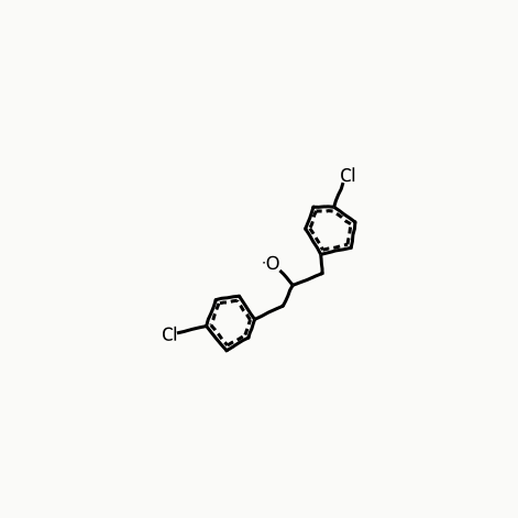 [O]C(Cc1ccc(Cl)cc1)Cc1ccc(Cl)cc1